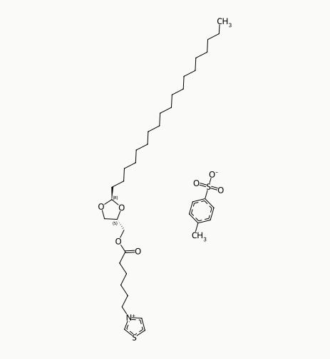 CCCCCCCCCCCCCCCCCCC[C@@H]1OC[C@@H](COC(=O)CCCCC[n+]2ccsc2)O1.Cc1ccc(S(=O)(=O)[O-])cc1